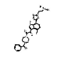 CCN(CC)CCn1nnc(-c2ccc(F)c3c(C(=O)C(=O)N4CCN(C(=O)c5ccccc5)CC4)c[nH]c23)n1